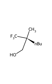 CCCC[C@@](C)(CO)C(F)(F)F